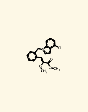 COC(=O)C(=Cc1ccccc1Cn1ccc2c(Cl)cccc21)OC